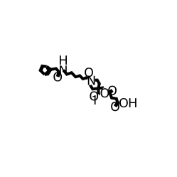 O=C(O)CCC(=O)OCC1(COI)CCN(C(=O)CCCCCNC(=O)CC2CC3C=CC2C3)CC1